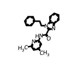 Cc1cc(C)nc(NC(=O)c2nc3ccccc3n2CCc2ccccc2)c1